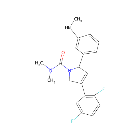 CBc1cccc(C2C=C(c3cc(F)ccc3F)CN2C(=O)N(C)C)c1